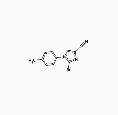 Cc1ccc(-n2cc(C#N)nc2Br)cc1